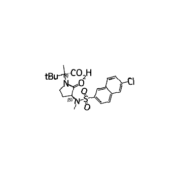 CN([C@H]1CCN([C@@](C)(C(=O)O)C(C)(C)C)C1=O)S(=O)(=O)c1ccc2cc(Cl)ccc2c1